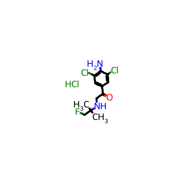 CC(C)(CF)NCC(=O)c1cc(Cl)c(N)c(Cl)c1.Cl